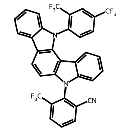 N#Cc1cccc(C(F)(F)F)c1-n1c2ccccc2c2c1ccc1c3ccccc3n(-c3ccc(C(F)(F)F)cc3C(F)(F)F)c12